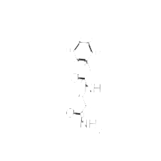 NC(=O)CCNC(=O)Cc1ccccc1